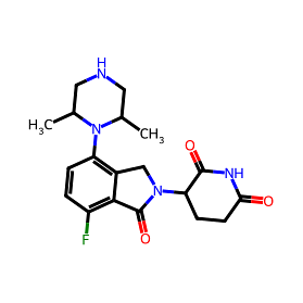 CC1CNCC(C)N1c1ccc(F)c2c1CN(C1CCC(=O)NC1=O)C2=O